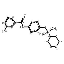 C[N+](C)(Cc1ccc(NC(=O)c2cccc(Br)c2)cc1)C1CCOCC1